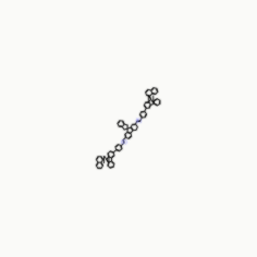 C1=C(/C=C/c2ccc(-c3ccc4c(c3)c3ccccc3n4-c3cccc4ccccc34)cc2)CCC2=C1C1(Cc3ccccc3C1)c1cc(/C=C/c3ccc(-c4ccc5c(c4)c4ccccc4n5-c4cccc5ccccc45)cc3)ccc12